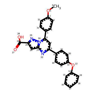 COc1ccc(-c2cc(-c3ccc(Oc4ccccc4)cc3)nc3cc(C(=O)O)nn23)cc1